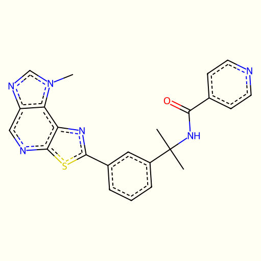 Cn1cnc2cnc3sc(-c4cccc(C(C)(C)NC(=O)c5ccncc5)c4)nc3c21